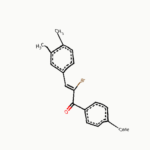 COc1ccc(C(=O)/C(Br)=C/c2ccc(C)c(C)c2)cc1